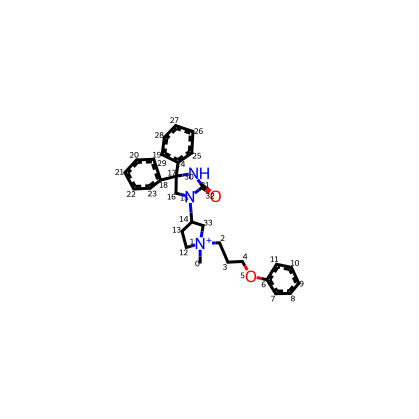 C[N+]1(CCCOc2ccccc2)CCC(N2CC(c3ccccc3)(c3ccccc3)NC2=O)C1